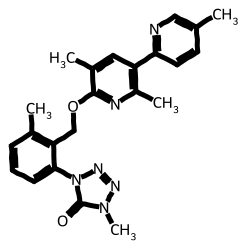 Cc1ccc(-c2cc(C)c(OCc3c(C)cccc3-n3nnn(C)c3=O)nc2C)nc1